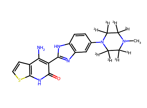 [2H]C1([2H])N(C)C([2H])([2H])C([2H])([2H])N(c2ccc3[nH]c(-c4c(N)c5ccsc5[nH]c4=O)nc3c2)C1([2H])[2H]